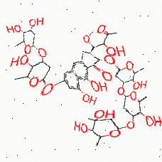 COC(C(O)C(C)=O)[C@@H]1Cc2cc3cc(OC4CC(OC5CC(O)C(O)C(C)O5)C(O)C(C)O4)cc(O)c3c(O)c2C(=O)[C@H]1OC1CC(OC2CC(OC3CC(C)(O)C(O)C(C)O3)C(O)C(C)O2)C(O)C(C)O1